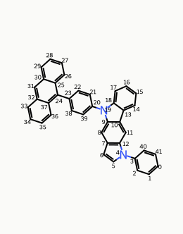 c1ccc(-n2ccc3cc4c(cc32)c2ccccc2n4-c2ccc(-c3c4ccccc4cc4ccccc34)cc2)cc1